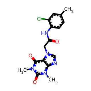 Cc1ccc(NC(=O)Cn2cnc3c2c(=O)n(C)c(=O)n3C)c(Cl)c1